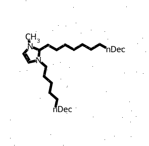 CCCCCCCCCCCCCCCCCC1N(C)C=CN1CCCCCCCCCCCCCCC